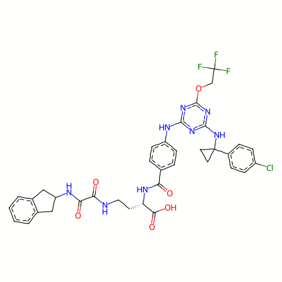 O=C(NCC[C@H](NC(=O)c1ccc(Nc2nc(NC3(c4ccc(Cl)cc4)CC3)nc(OCC(F)(F)F)n2)cc1)C(=O)O)C(=O)NC1Cc2ccccc2C1